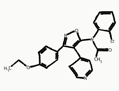 CCOc1ccc(-c2noc(N(C(C)=O)c3ccccc3Cl)c2-c2ccncc2)cc1